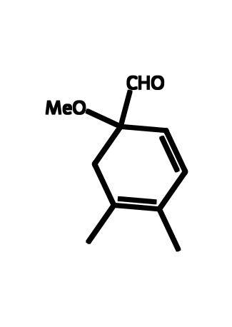 COC1(C=O)C=CC(C)=C(C)C1